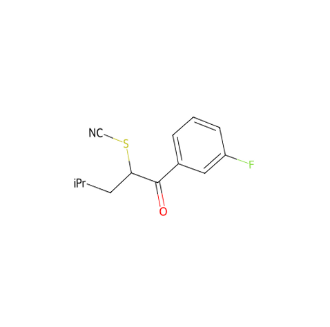 CC(C)CC(SC#N)C(=O)c1cccc(F)c1